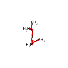 CCCCCCCCCCCC(c1ccc(N)cc1)c1ccc(CCCCCCCCCCCCCCc2ccc(C(CCCCCCCCCCC)c3ccc(N)cc3)cc2)cc1